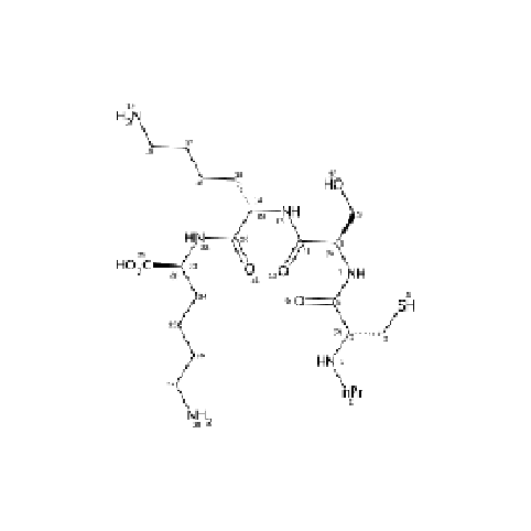 CCCN[C@@H](CS)C(=O)N[C@H](CO)C(=O)N[C@@H](CCCCN)C(=O)N[C@@H](CCCCN)C(=O)O